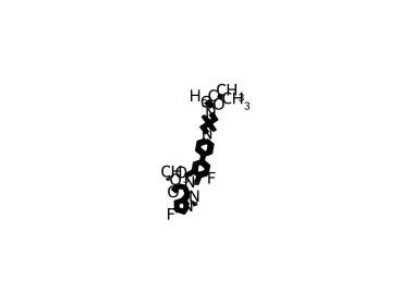 CCOC(=O)C(c1ncn2c1CC(F)C2)N1Cc2c(F)cc(-c3ccc(N4CC5(CN(C(=O)OC(C)(C)C)C5)C4)cc3)cc2C1=O